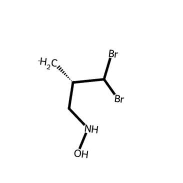 [CH2][C@@H](CNO)C(Br)Br